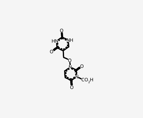 O=C(O)n1c(=O)ccn(OCc2c[nH]c(=O)[nH]c2=O)c1=O